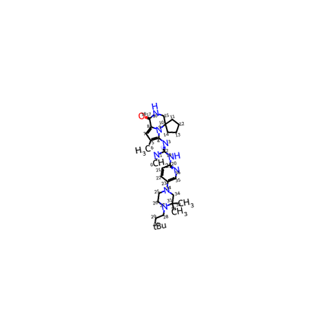 C=N/C(=N\c1c(C)cc2n1C1(CCCC1)CNC2=O)Nc1ccc(N2CCN(CCC(C)(C)C)C(C)(C)C2)cn1